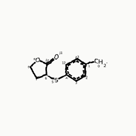 [CH2]c1ccc(S[C@H]2CCOC2=O)cc1